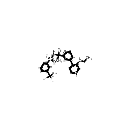 CCOc1cnccc1-c1cccc(C(C)(C)NS(=O)(=O)c2cccc(C(F)(F)F)c2)c1